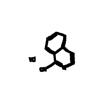 Cl.O=Nc1nccc2ccccc12